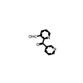 O=Cc1cccnc1C(=O)c1cccnc1